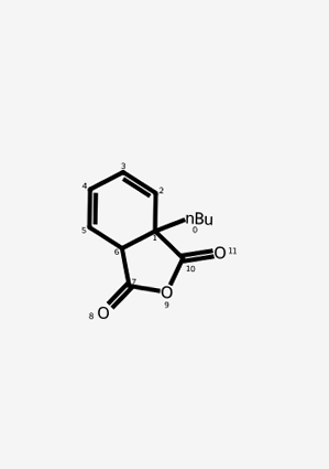 CCCCC12C=CC=CC1C(=O)OC2=O